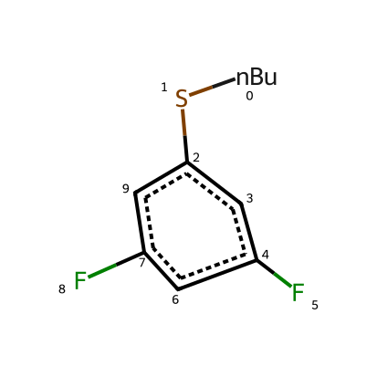 [CH2]CCCSc1cc(F)cc(F)c1